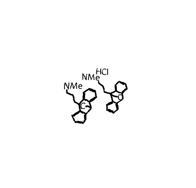 CNCCCC12CCC(c3ccccc31)c1ccccc12.CNCCCC12CCC(c3ccccc31)c1ccccc12.Cl